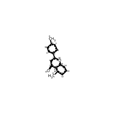 Cc1ccc(-c2cc(=O)c3c(C)cccc3o2)cc1